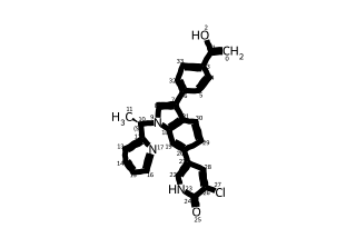 C=C(O)c1ccc(-c2cn([C@@H](C)c3ccccn3)c3cc(-c4c[nH]c(=O)c(Cl)c4)ccc23)cc1